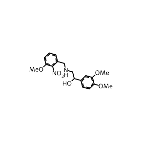 COc1ccc(C(O)CNCc2cccc(OC)c2[N+](=O)[O-])cc1OC